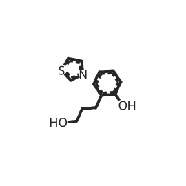 OCCCc1ccccc1O.c1cscn1